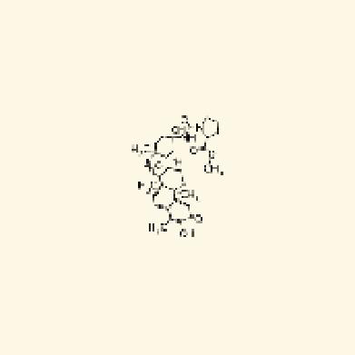 COC(=O)[C@@H]1CCCN1C(=O)N[C@]1(C)CC[C@]2(C)CC[C@]3(C)C4=CC=C5C(=CC(=O)C(O)=C5C)[C@]4(C)CC[C@@]3(C)[C@@H]2C1